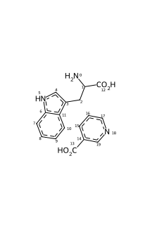 NC(Cc1c[nH]c2ccccc12)C(=O)O.O=C(O)c1cccnc1